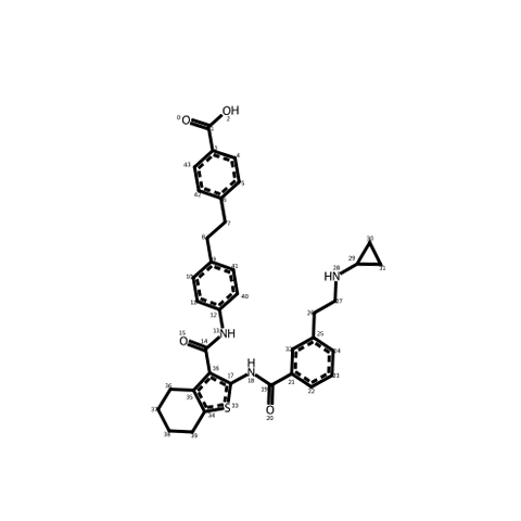 O=C(O)c1ccc(CCc2ccc(NC(=O)c3c(NC(=O)c4cccc(CCNC5CC5)c4)sc4c3CCCC4)cc2)cc1